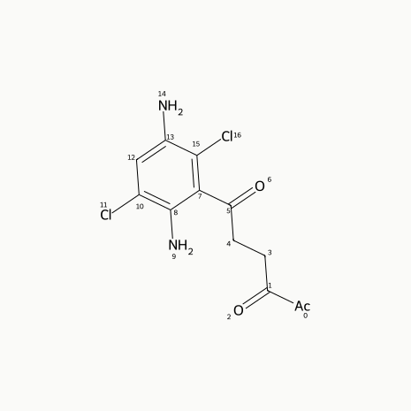 CC(=O)C(=O)CCC(=O)c1c(N)c(Cl)cc(N)c1Cl